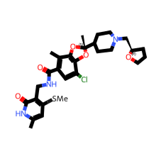 CSc1cc(C)[nH]c(=O)c1CNC(=O)c1cc(Cl)c2c(c1C)O[C@](C)(C1CCN(C[C@H]3CCCO3)CC1)O2